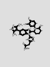 CNC(=O)Cc1nsc(-n2c(C3CCCC(=O)N3c3ccc(F)c(F)c3)nc3cc(-c4c(C)noc4C)ccc32)n1